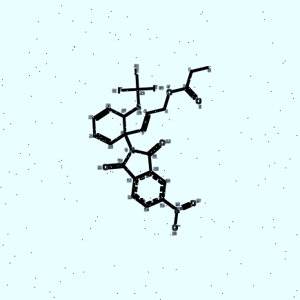 CCC(=O)OCC=CC1(N2C(=O)c3ccc([N+](=O)[O-])cc3C2=O)C=CC=CC1SC(F)(F)F